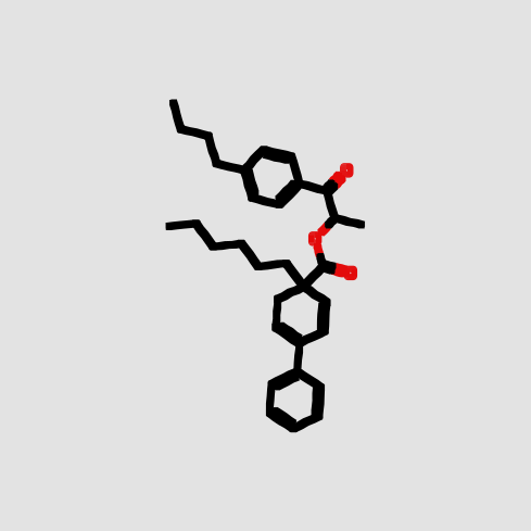 CCCCCCC1(C(=O)OC(C)C(=O)c2ccc(CCCC)cc2)C=CC(c2ccccc2)=CC1